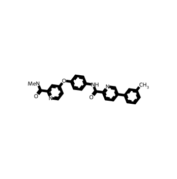 CNC(=O)c1cc(Oc2ccc(NC(=O)c3ccc(-c4cccc(C)c4)cn3)cc2)ccn1